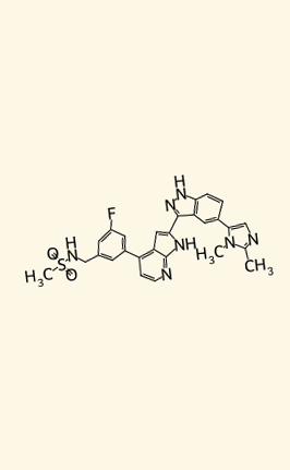 Cc1ncc(-c2ccc3[nH]nc(-c4cc5c(-c6cc(F)cc(CNS(C)(=O)=O)c6)ccnc5[nH]4)c3c2)n1C